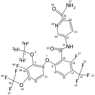 [2H]C([2H])([2H])Oc1c(Oc2ccc(C(F)(F)F)c(F)c2C(=O)Nc2ccc(C(N)=O)nc2)ccc(OC(F)(F)F)c1F